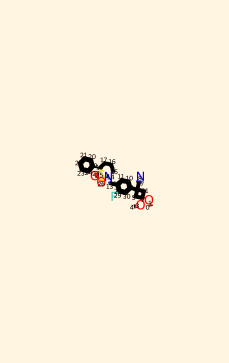 COC1(OC)CC(C#N)(c2ccc(CN3CCC[C@H](c4ccccc4)S3(=O)=O)c(F)c2)C1